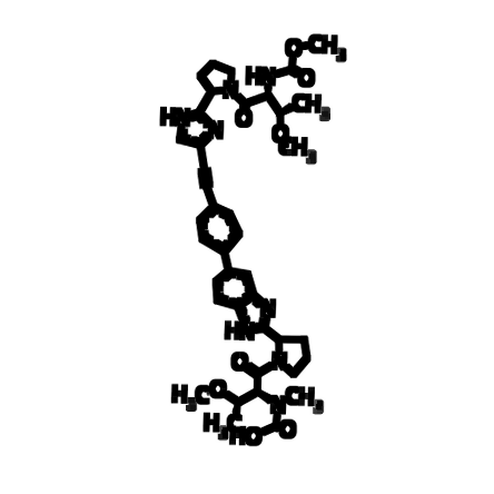 COC(=O)N[C@H](C(=O)N1CCCC1c1nc(C#Cc2ccc(-c3ccc4[nH]c(C5CCCN5C(=O)[C@H]([C@@H](C)OC)N(C)C(=O)O)nc4c3)cc2)c[nH]1)[C@@H](C)OC